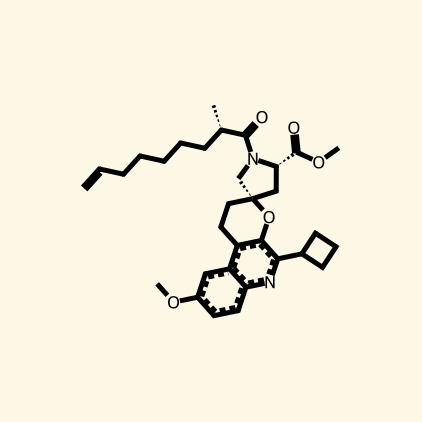 C=CCCCCC[C@H](C)C(=O)N1C[C@]2(CCc3c(c(C4CCC4)nc4ccc(OC)cc34)O2)C[C@H]1C(=O)OC